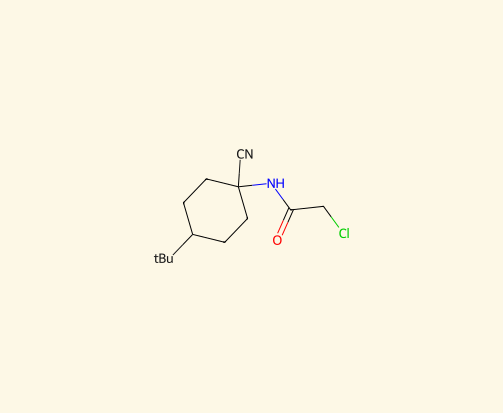 CC(C)(C)C1CCC(C#N)(NC(=O)CCl)CC1